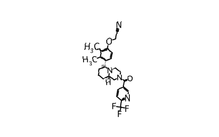 Cc1c(OCC#N)ccc([C@H]2CCC[C@H]3CN(C(=O)c4ccc(C(F)(F)F)nc4)CCN32)c1C